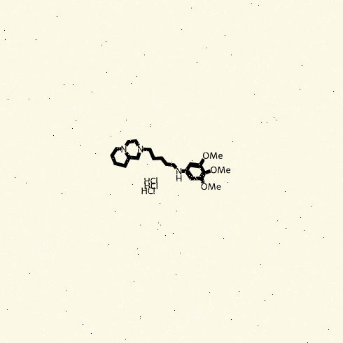 COc1cc(NCCCCCN2CCN3CCCCC3C2)cc(OC)c1OC.Cl.Cl.Cl